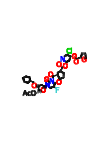 CC(=O)OC[C@H]1O[C@@H](n2cc(F)c(=O)n(C(=O)c3cccc(C(=O)Oc4cc(OC(=O)c5ccco5)c(Cl)cn4)c3)c2=O)C[C@@H]1OCc1ccccc1